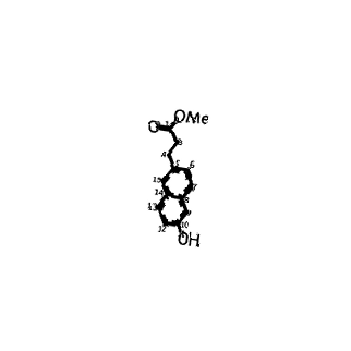 COC(=O)CCc1ccc2cc(O)ccc2c1